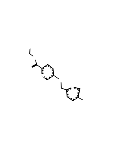 CCOC(=O)c1ccc(OCc2ccc(Cl)cn2)cn1